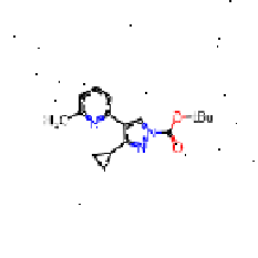 Cc1cccc(-c2cn(C(=O)OC(C)(C)C)nc2C2CC2)n1